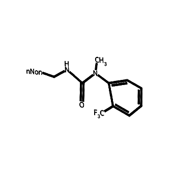 CCCCCCCCCCNC(=O)N(C)c1ccccc1C(F)(F)F